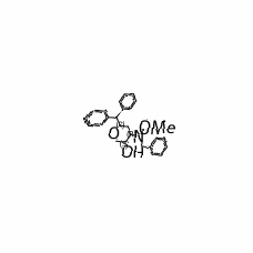 CON(Cc1ccccc1)[C@@H]1C[C@H](C(c2ccccc2)c2ccccc2)OC[C@H]1O